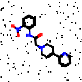 O=C(CN1CC=C(c2ccccn2)CC1)Nc1ccccc1[N+](=O)[O-]